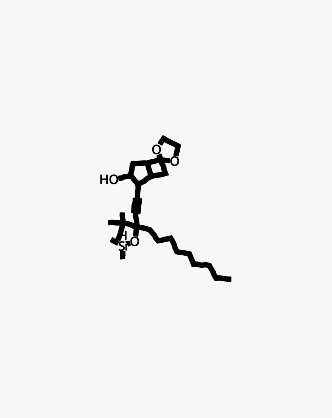 CCCCCCCCCC(C#CC1C(O)CC2C1CC21OCCO1)(O[SiH](C)C)C(C)(C)C